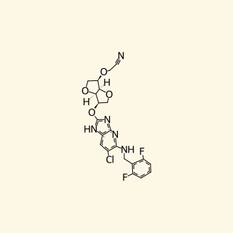 N#CCO[C@@H]1CO[C@H]2[C@@H]1OC[C@H]2Oc1nc2nc(NCc3c(F)cccc3F)c(Cl)cc2[nH]1